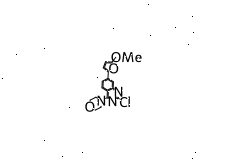 COc1ccc(-c2ccc3c(N4CCOCC4)nc(Cl)nc3c2)o1